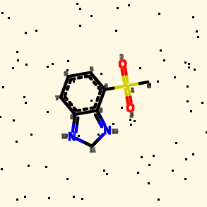 CS(=O)(=O)c1cccc2c1=NCN=2